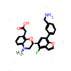 CN1C[C@H](c2cc(-c3cccc(CN)c3)c3occc3c2F)Oc2c(CC(=O)O)cccc21